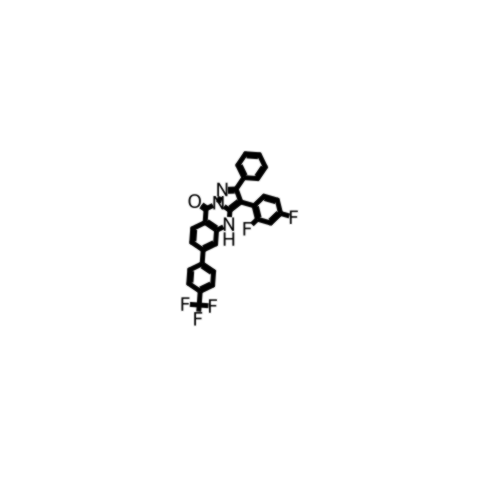 O=c1c2ccc(-c3ccc(C(F)(F)F)cc3)cc2[nH]c2c(-c3ccc(F)cc3F)c(-c3ccccc3)nn12